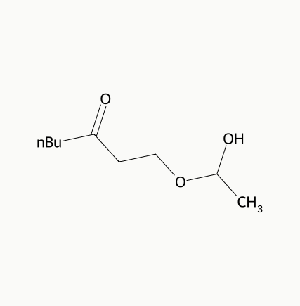 CCCCC(=O)CCOC(C)O